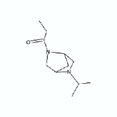 CCC(=O)N1CC2CC1CN2C(C)C